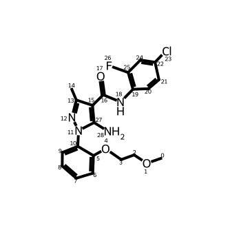 COCCOc1ccccc1-n1nc(C)c(C(=O)Nc2ccc(Cl)cc2F)c1N